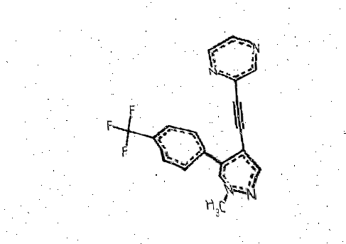 Cn1ncc(C#Cc2cnccn2)c1-c1ccc(C(F)(F)F)cc1